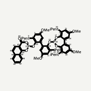 CCCC(C)c1cc(OC)cc(-c2cc(OC)cc(C(C)CCC)c2Op2oc3c(C(C)CCC)cc(OC)cc3c3cc(OC)cc(C(C)CCC)c3o2)c1OP1OC(=O)c2ccc3ccccc3c2O1